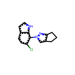 Clc1ccc2cc[nH]c2c1-n1cc2c(n1)CCC2